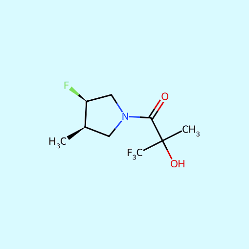 C[C@@H]1CN(C(=O)C(C)(O)C(F)(F)F)C[C@@H]1F